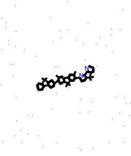 Cc1cc2c(cc1-c1ccc3c(c1)C(C)(C)c1ccccc1-3)C(C)(C)c1cc(-c3ccc4c(n3)-c3ncccc3C4(C)C)c(C)cc1-2